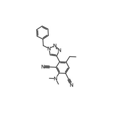 CCc1cc(C#N)c(N(C)C)c(C#N)c1-c1cn(Cc2ccccc2)nn1